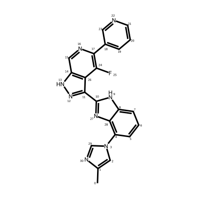 Cc1cn(-c2cccc3[nH]c(-c4n[nH]c5cnc(-c6cccnc6)c(F)c45)nc23)cn1